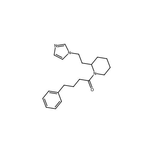 O=C(CCCc1ccccc1)N1CCCCC1CCn1ccnc1